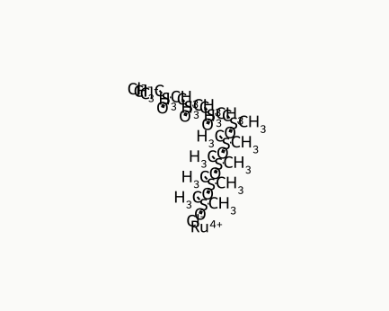 CS(C)=O.CS(C)=O.CS(C)=O.CS(C)=O.CS(C)=O.CS(C)=O.CS(C)=O.CS(C)=O.[Cl-].[Cl-].[Cl-].[Cl-].[Ru+4]